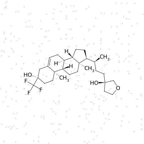 C[C@@H](CC[C@@]1(O)CCOC1)[C@@H]1CC[C@H]2[C@@H]3CC=C4C[C@](O)(C(F)(F)F)CC[C@]4(C)[C@H]3CC[C@@]21C